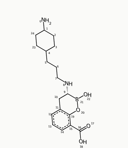 NC1CCC(CCCN[C@H]2Cc3cccc(C(=O)O)c3OB2O)CC1